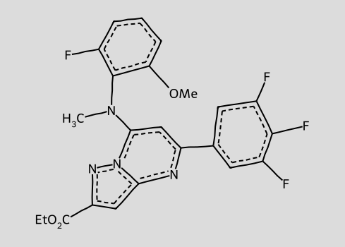 CCOC(=O)c1cc2nc(-c3cc(F)c(F)c(F)c3)cc(N(C)c3c(F)cccc3OC)n2n1